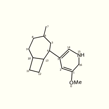 COC1=CC(C2CC(C)CCC3CCC32)=CNC1